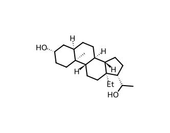 CC[C@]12CC[C@H]3[C@@H](CC[C@@H]4C[C@@H](O)CC[C@@]43C)[C@@H]1CC[C@@H]2C(C)O